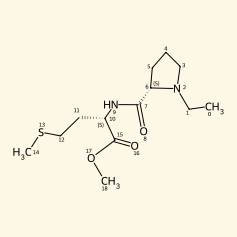 CCN1CCC[C@H]1C(=O)N[C@@H](CCSC)C(=O)OC